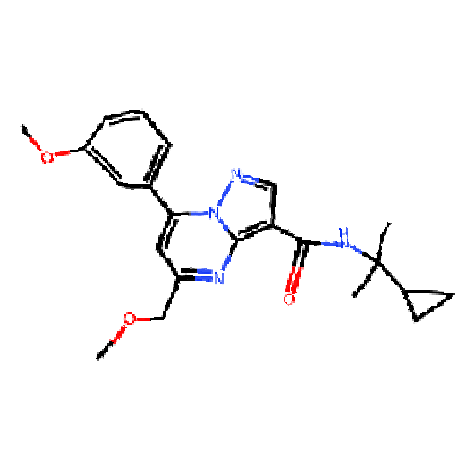 COCc1cc(-c2cccc(OC)c2)n2ncc(C(=O)NC(C)(C)C3CC3)c2n1